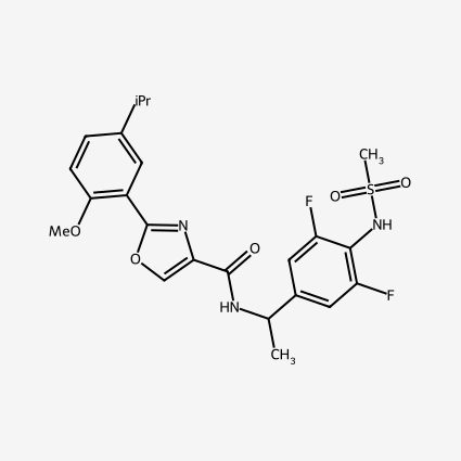 COc1ccc(C(C)C)cc1-c1nc(C(=O)NC(C)c2cc(F)c(NS(C)(=O)=O)c(F)c2)co1